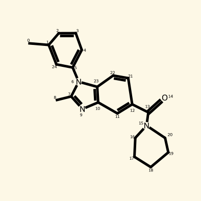 Cc1cccc(-n2c(C)nc3cc(C(=O)N4CCCCC4)ccc32)c1